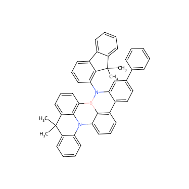 CC1(C)c2ccccc2N2c3cccc4c3B(c3cccc1c32)N(c1cccc2c1C(C)(C)c1ccccc1-2)c1cc(-c2ccccc2)ccc1-4